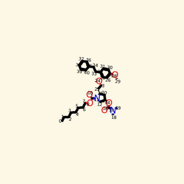 CCCCCCCCOC(=O)N1C[C@H](OC(=O)N(C)C)C[C@H]1CCOc1cc(OC)ccc1CCc1ccccc1